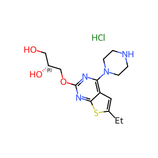 CCc1cc2c(N3CCNCC3)nc(OC[C@H](O)CO)nc2s1.Cl